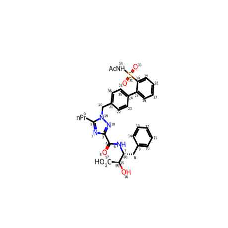 CCCc1nc(C(=O)N[C@H](Cc2ccccc2)[C@@H](O)C(=O)O)nn1Cc1ccc(-c2ccccc2S(=O)(=O)NC(C)=O)cc1